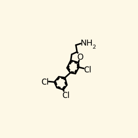 NCC1Cc2cc(-c3cc(Cl)cc(Cl)c3)cc(Cl)c2O1